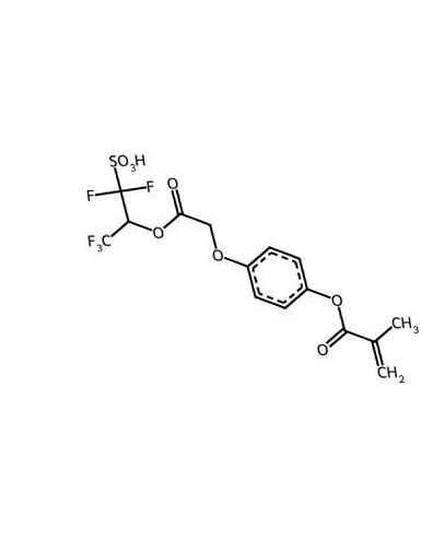 C=C(C)C(=O)Oc1ccc(OCC(=O)OC(C(F)(F)F)C(F)(F)S(=O)(=O)O)cc1